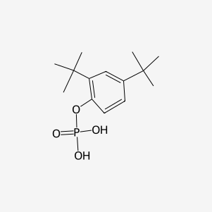 CC(C)(C)c1ccc(OP(=O)(O)O)c(C(C)(C)C)c1